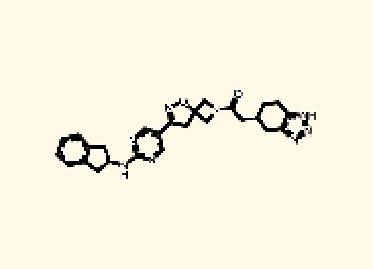 O=C(C[C@H]1CCc2[nH]nnc2C1)N1CC2(CC(c3cnc(NC4Cc5ccccc5C4)nc3)=NO2)C1